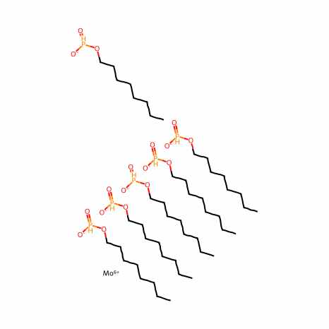 CCCCCCCCO[PH](=O)[O-].CCCCCCCCO[PH](=O)[O-].CCCCCCCCO[PH](=O)[O-].CCCCCCCCO[PH](=O)[O-].CCCCCCCCO[PH](=O)[O-].CCCCCCCCO[PH](=O)[O-].[Mo+6]